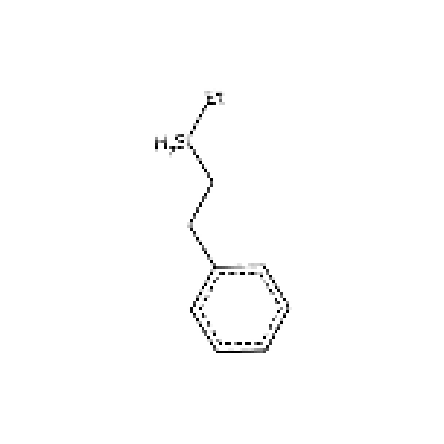 CC[SiH2]CCc1ccccc1